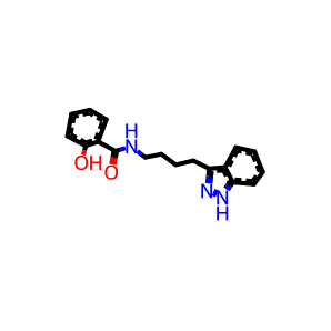 O=C(NCCCCc1n[nH]c2ccccc12)c1ccccc1O